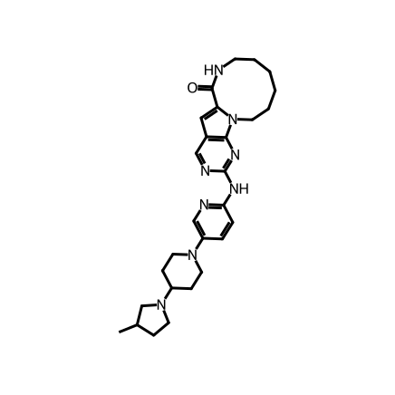 CC1CCN(C2CCN(c3ccc(Nc4ncc5cc6n(c5n4)CCCCCCNC6=O)nc3)CC2)C1